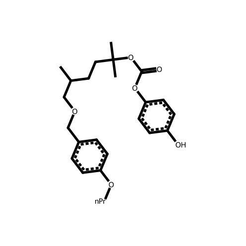 CCCOc1ccc(COCC(C)CCC(C)(C)OC(=O)Oc2ccc(O)cc2)cc1